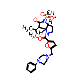 CC(C)[C@H]1C(=O)N(S(C)(=O)=O)[C@H]2CCN(C(=O)c3ccc(CN4CCN(c5ccccc5)CC4)o3)[C@H]12